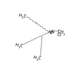 CCCCCCCC/C=C/CCCCCCCCC(CCCCC(CCCCCCCCCCCCCC)CCCCCCCCCCCCCC)[n+]1ccn(CCCC)c1.[Cl-]